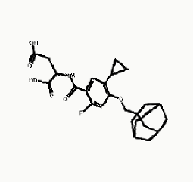 O=C(O)CC(NC(=O)c1cc(C2CC2)c(OCC23CC4CC(CC(C4)C2)C3)cc1F)C(=O)O